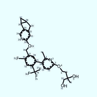 Cc1nc(OCCC(C)(O)CO)ccc1-c1cc(COc2cc3c(cn2)C2CC2C3)c(F)cc1C(F)(F)F